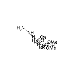 COc1cc(C2c3cc4c(cc3[C@@H](NC(=O)CCCNCCCNCCCCN)[C@H]3COC(=O)[C@H]23)OCO4)cc(OC)c1O